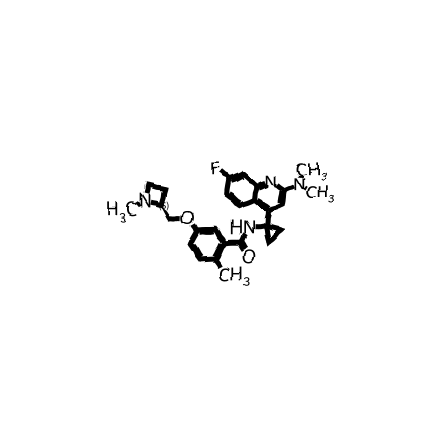 Cc1ccc(OC[C@@H]2CCN2C)cc1C(=O)NC1(c2cc(N(C)C)nc3cc(F)ccc23)CC1